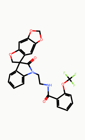 O=C(NCCN1C(=O)C2(COc3cc4c(cc32)OCO4)c2ccccc21)c1ccccc1OC(F)(F)F